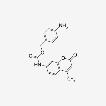 Nc1ccc(COC(=O)Nc2ccc3c(C(F)(F)F)cc(=O)oc3c2)cc1